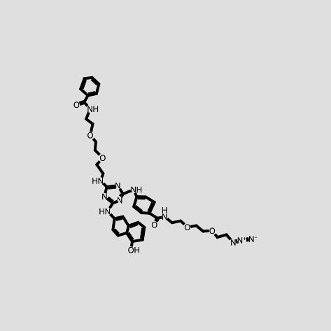 [N-]=[N+]=NCCOCCOCCNC(=O)c1ccc(Nc2nc(NCCOCCOCCNC(=O)c3ccccc3)nc(Nc3ccc4c(O)cccc4c3)n2)cc1